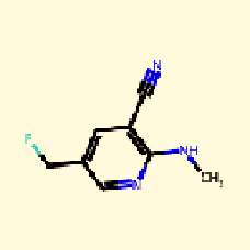 CNc1ncc(CF)cc1C#N